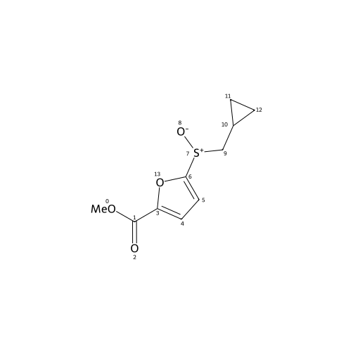 COC(=O)c1ccc([S+]([O-])CC2CC2)o1